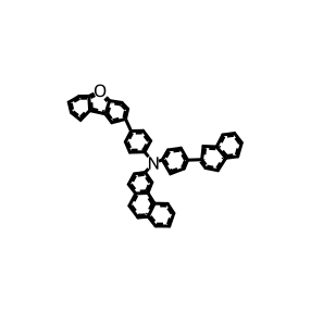 c1ccc2cc(-c3ccc(N(c4ccc(-c5ccc6oc7ccccc7c6c5)cc4)c4ccc5ccc6ccccc6c5c4)cc3)ccc2c1